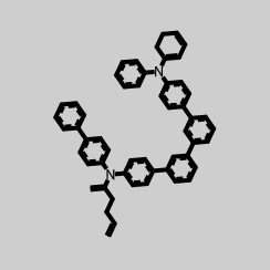 C=CCCC(=C)N(c1ccc(-c2ccccc2)cc1)c1ccc(-c2cccc(-c3cccc(-c4ccc(N(C5=CC=CCC5)c5ccccc5)cc4)c3)c2)cc1